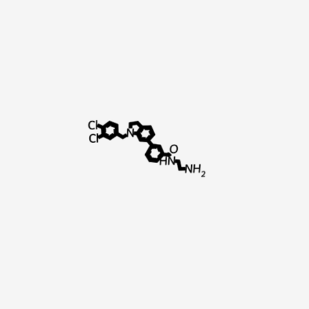 NCCNC(=O)c1cccc(-c2ccc3c(c2)N(Cc2ccc(Cl)c(Cl)c2)CC3)c1